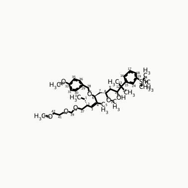 CC[C@H](/C=C(/C)[C@H](C[C@H](C[C@H](O)C(C)(C)c1ccc[c]([Sn]([CH3])([CH3])[CH3])c1)OC)OCc1ccc(OC)cc1)COCOCCOC